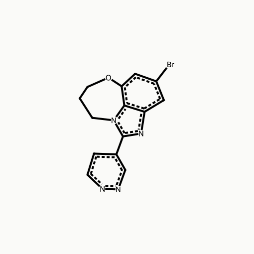 Brc1cc2c3c(c1)nc(-c1ccnnc1)n3CCCO2